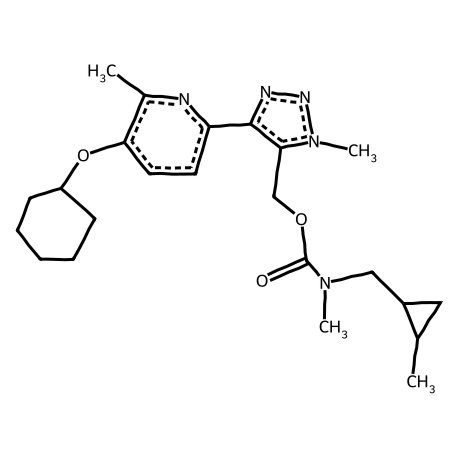 Cc1nc(-c2nnn(C)c2COC(=O)N(C)CC2CC2C)ccc1OC1CCCCC1